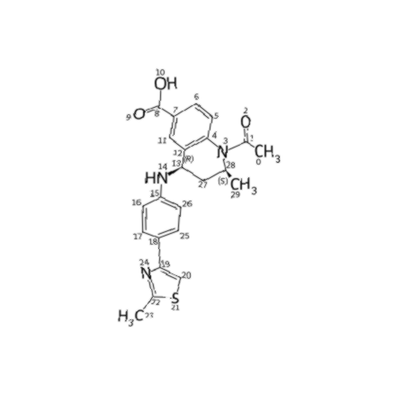 CC(=O)N1c2ccc(C(=O)O)cc2[C@H](Nc2ccc(-c3csc(C)n3)cc2)C[C@@H]1C